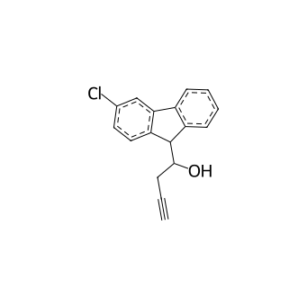 C#CCC(O)C1c2ccccc2-c2cc(Cl)ccc21